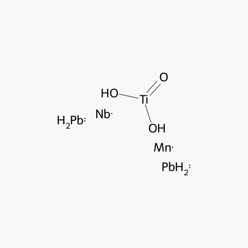 [Mn].[Nb].[O]=[Ti]([OH])[OH].[PbH2].[PbH2]